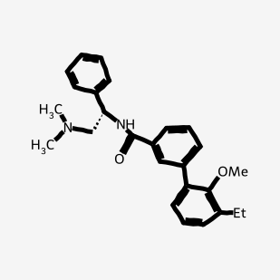 CCc1cccc(-c2cccc(C(=O)N[C@H](CN(C)C)c3ccccc3)c2)c1OC